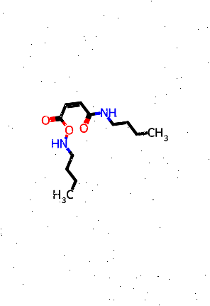 CCCCNOC(=O)/C=C\C(=O)NCCCC